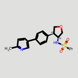 Cc1ccc(-c2ccc([C@H]3COC[C@H]3NS(=O)(=O)C(C)C)cc2)cn1